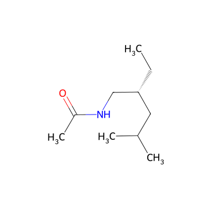 CC[C@@H](CNC(C)=O)CC(C)C